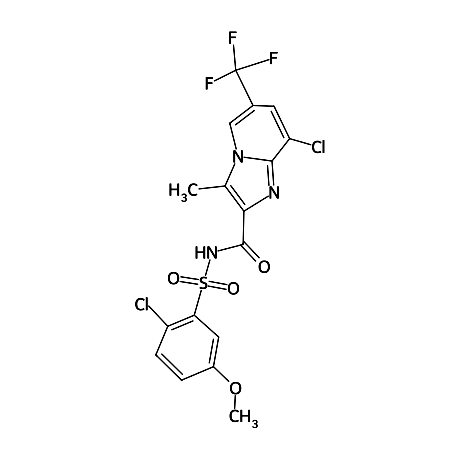 COc1ccc(Cl)c(S(=O)(=O)NC(=O)c2nc3c(Cl)cc(C(F)(F)F)cn3c2C)c1